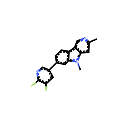 Cc1cc2c(cn1)c1ccc(-c3cnc(F)c(F)c3)cc1n2C